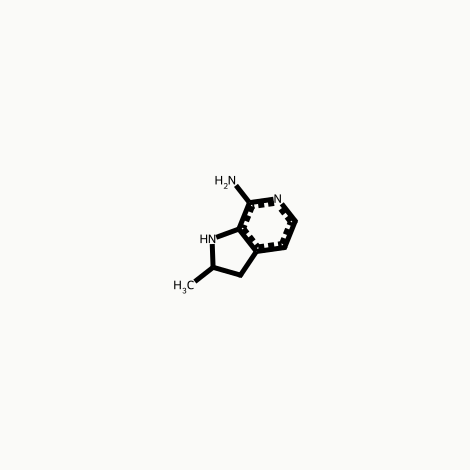 CC1Cc2ccnc(N)c2N1